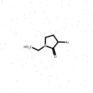 CC(=O)C1CCN(CC(=O)O)C1=O